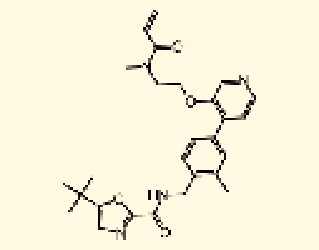 C=CC(=O)N(C)CCOc1cnccc1-c1ccc(CNC(=O)c2ncc(C(C)(C)C)o2)c(C)c1